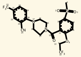 CS(=O)(=O)c1ccc(OCC(F)(F)F)c(C(=O)N2CCN(c3ccc(C(F)(F)F)cc3C#N)CC2)c1